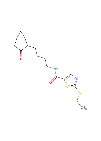 CCSc1ncc(C(=O)NCCCCC2C(=O)CC3CC32)s1